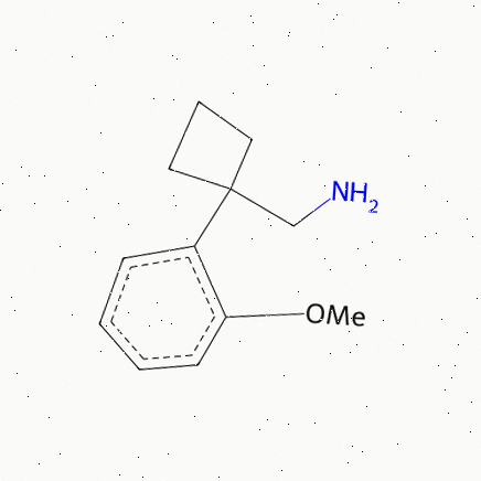 COc1ccccc1C1(CN)CCC1